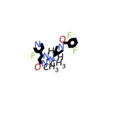 CN(c1nc(-c2ccncc2F)cc(=O)n1C)[C@@H]1[C@@H]2CN(C(=O)c3cc(F)ccc3F)C[C@@H]21